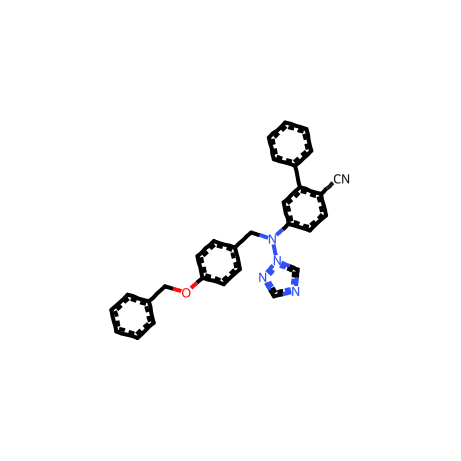 N#Cc1ccc(N(Cc2ccc(OCc3ccccc3)cc2)n2cncn2)cc1-c1ccccc1